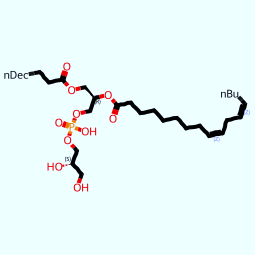 CCCC/C=C\C/C=C\CCCCCCCC(=O)O[C@H](COC(=O)CCCCCCCCCCCC)COP(=O)(O)OC[C@@H](O)CO